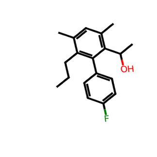 CCCc1c(C)cc(C)c(C(C)O)c1-c1ccc(F)cc1